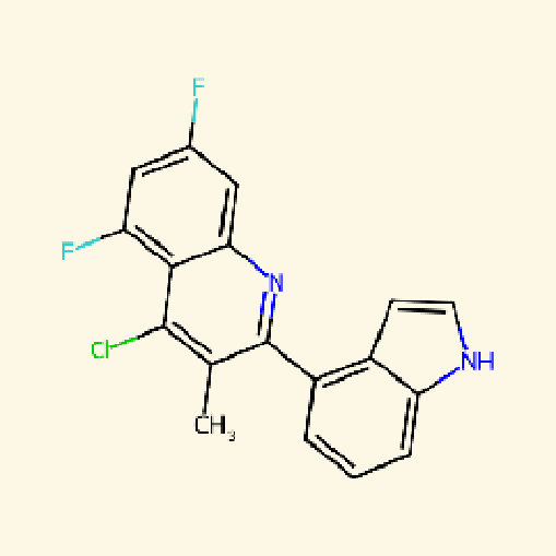 Cc1c(-c2cccc3[nH]ccc23)nc2cc(F)cc(F)c2c1Cl